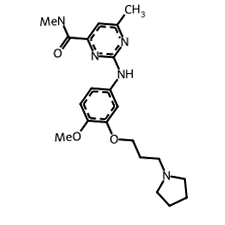 CNC(=O)c1cc(C)nc(Nc2ccc(OC)c(OCCCN3CCCC3)c2)n1